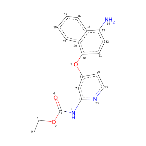 CCOC(=O)Nc1cc(Oc2ccc(N)c3ccccc23)ccn1